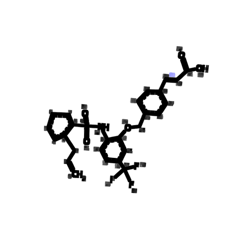 C=CCc1ccccc1S(=O)(=O)Nc1ccc(C(F)(F)F)cc1OCc1ccc(/C=C/C(=O)O)cc1